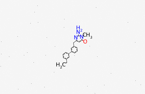 C=Cc1cccc(-c2cccc(Cc3cc(=O)n(C)c(N)n3)c2)c1